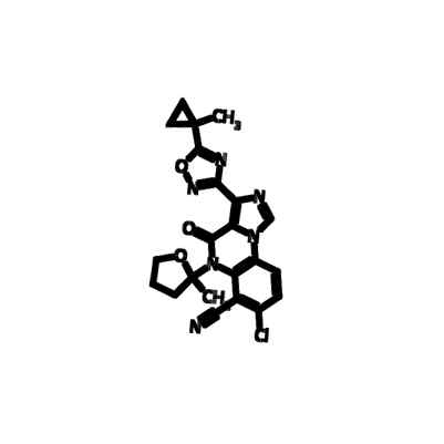 CC1(c2nc(-c3ncn4c3c(=O)n(C3(C)CCCO3)c3c(C#N)c(Cl)ccc34)no2)CC1